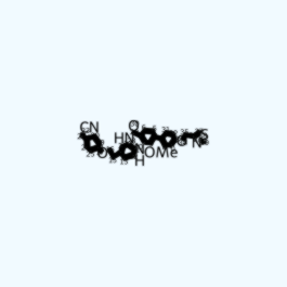 COc1cc(-c2ccc3c(c2)Nc2ccc(CCOc4ccc(CC#N)cc4)cc2NC3=O)ccc1OCc1cscn1